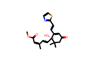 COC(=O)/C=C(C)\C=C\[C@@]1(O)C(/C=C/c2nccs2)=CC(=O)CC1(C)C